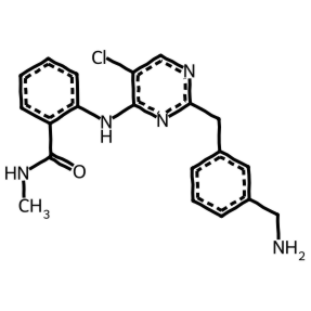 CNC(=O)c1ccccc1Nc1nc(Cc2cccc(CN)c2)ncc1Cl